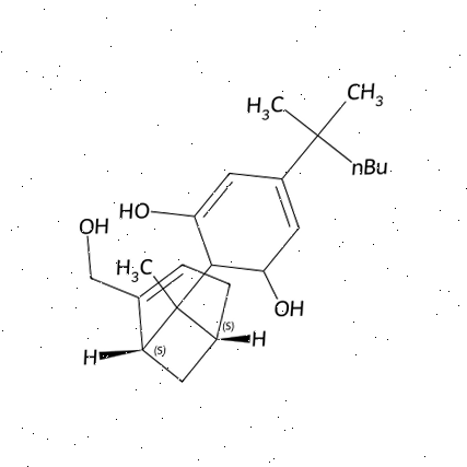 CCCCC(C)(C)C1=CC(O)C(C2(C)[C@@H]3CC=C(CO)[C@H]2C3)C(O)=C1